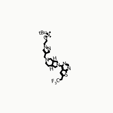 CC(C)(C)[Si](C)(C)OCCn1cc(CN2CC[C@@H]3CN(c4ncnc5sc(CC(F)(F)F)cc45)C[C@@H]3C2)cn1